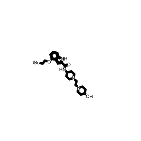 CC(C)(C)CCOc1cccc2[nH]c(C(=O)NC3CCN(CCN4CCC(O)CC4)CC3)cc12